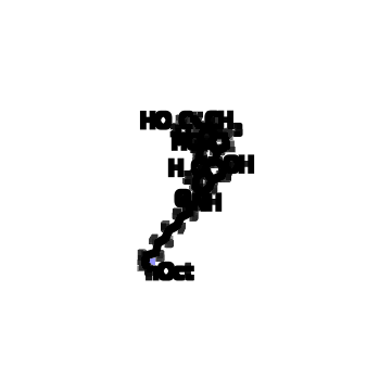 CCCCCCCC/C=C\CCCCCCCC(=O)N[C@H]1CC[C@@]2(C)C(C1)C[C@@H](O)C1C2C[C@H](O)[C@@]2(C)C1CC[C@@H]2[C@H](C)CCC(=O)O